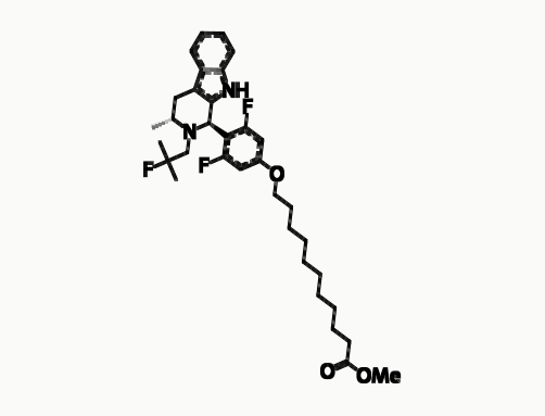 COC(=O)CCCCCCCCCCOc1cc(F)c([C@@H]2c3[nH]c4ccccc4c3C[C@@H](C)N2CC(C)(C)F)c(F)c1